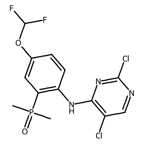 CP(C)(=O)c1cc(OC(F)F)ccc1Nc1nc(Cl)ncc1Cl